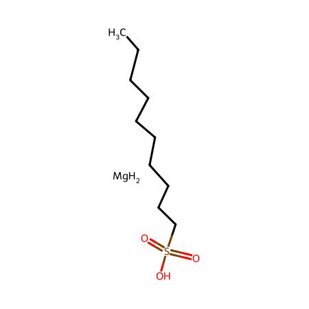 CCCCCCCCCCS(=O)(=O)O.[MgH2]